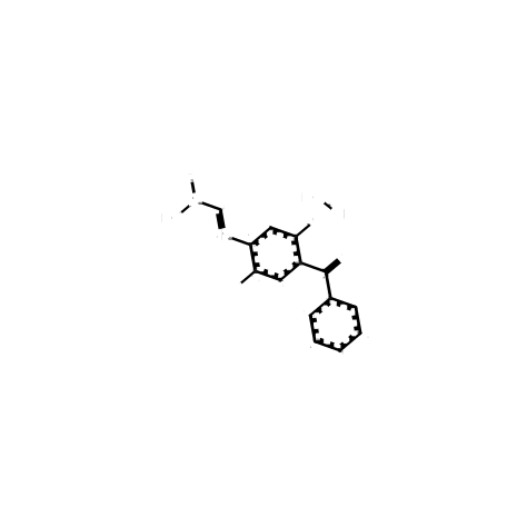 CCN(C)C=Nc1cc(C)c(C(=O)c2ccccc2)cc1C.OCl